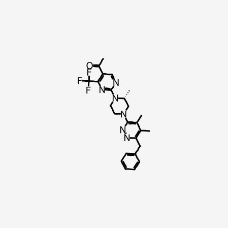 CC(=O)c1cnc(N2CCN(c3nnc(Cc4ccccc4)c(C)c3C)C[C@H]2C)nc1C(F)(F)F